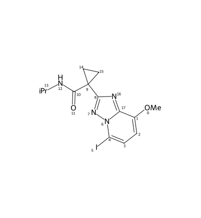 COc1ccc(I)n2nc(C3(C(=O)NC(C)C)CC3)nc12